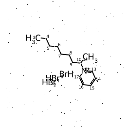 Br.Br.Br.CCCCCCCC(C)[n+]1ccccc1